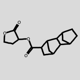 O=C1OCCC1OC(=O)C1CC2CC1C1C3CCC(C3)C21